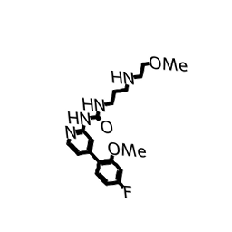 COCCNCCCNC(=O)Nc1cc(-c2ccc(F)cc2OC)ccn1